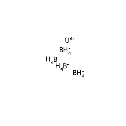 [BH4-].[BH4-].[BH4-].[BH4-].[U+4]